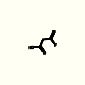 O=C(O)CC(=O)F